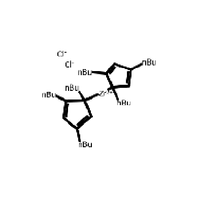 CCCCC1=C[C](CCCC)([Zr+2][C]2(CCCC)C=C(CCCC)C=C2CCCC)C(CCCC)=C1.[Cl-].[Cl-]